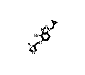 Cn1cncc1COc1ccc2c(nnn2CC2CC2)c1Br